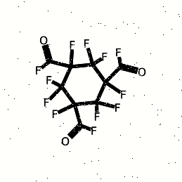 O=C(F)C1(F)C(F)(F)C(F)(C(=O)F)C(F)(F)C(F)(C(=O)F)C1(F)F